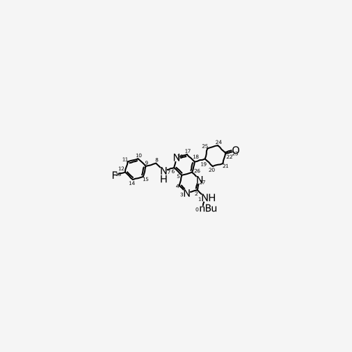 CCCCNc1ncc2c(NCc3ccc(F)cc3)ncc(C3CCC(=O)CC3)c2n1